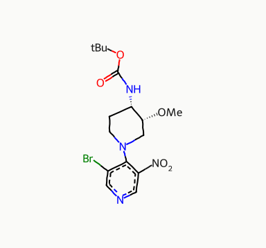 CO[C@@H]1CN(c2c(Br)cncc2[N+](=O)[O-])CC[C@@H]1NC(=O)OC(C)(C)C